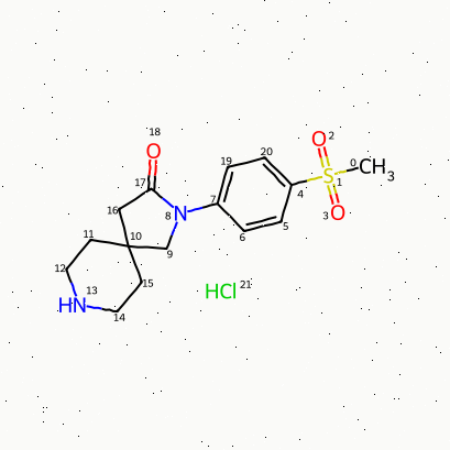 CS(=O)(=O)c1ccc(N2CC3(CCNCC3)CC2=O)cc1.Cl